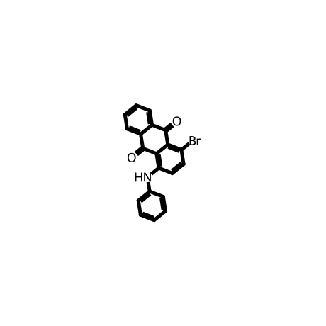 O=C1c2ccccc2C(=O)c2c(Nc3ccccc3)ccc(Br)c21